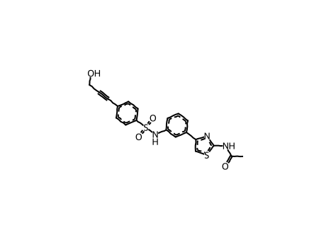 CC(=O)Nc1nc(-c2cccc(NS(=O)(=O)c3ccc(C#CCO)cc3)c2)cs1